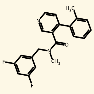 Cc1ccccc1-c1ccncc1C(=O)N(C)Cc1cc(F)cc(F)c1